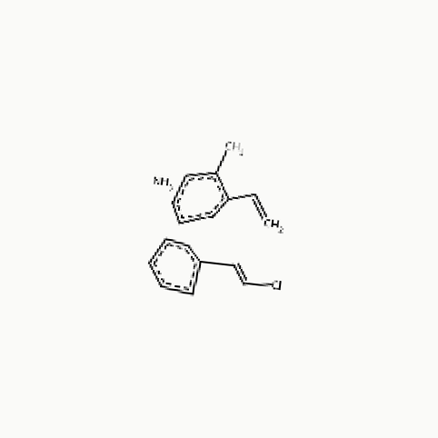 C=Cc1ccccc1C.ClC=Cc1ccccc1.N